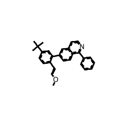 CO/C=C/c1ccc(C(C)(C)C)cc1-c1ccc2c(-c3ccccc3)nccc2c1